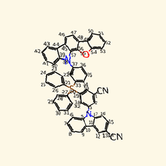 N#Cc1cc(-n2c3ccccc3c3cc(C#N)ccc32)cc(S(c2ccccc2)(c2ccccc2)c2cccc(-n3c4ccccc4c4ccc5c6ccccc6oc5c43)c2)c1